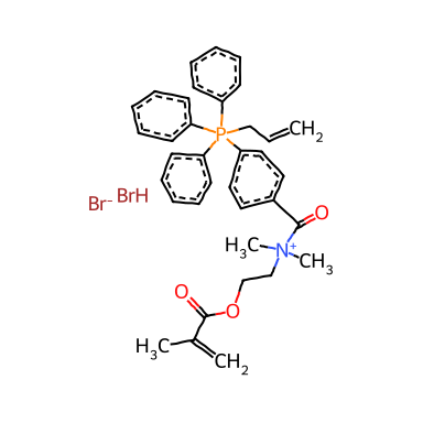 Br.C=CCP(c1ccccc1)(c1ccccc1)(c1ccccc1)c1ccc(C(=O)[N+](C)(C)CCOC(=O)C(=C)C)cc1.[Br-]